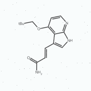 CC(C)(C)COc1ccnc2[nH]cc(/C=C/C(N)=O)c12